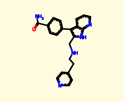 NC(=O)c1ccc(-c2c(CNCCc3ccncc3)[nH]c3ncccc23)cc1